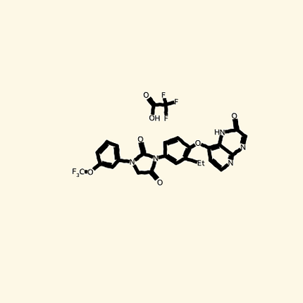 CCc1cc(N2C(=O)CN(c3cccc(OC(F)(F)F)c3)C2=O)ccc1Oc1ccnc2ncc(=O)[nH]c12.O=C(O)C(F)(F)F